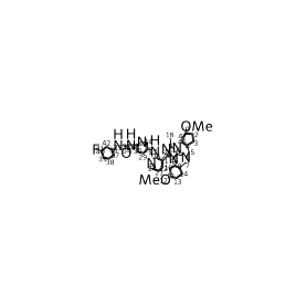 COc1ccc(CN(Cc2ccc(OC)cc2)c2nc(C)nc(-c3cccnc3Nc3ccc(NC(=O)Nc4cccc(F)c4)nc3)n2)cc1